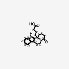 O=C(O)CCCC12CCCC(=O)N1CCc1c2[nH]c2ccccc12